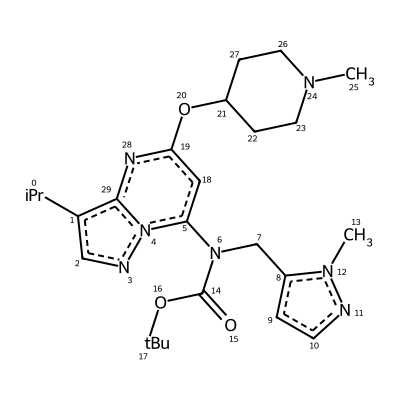 CC(C)c1cnn2c(N(Cc3ccnn3C)C(=O)OC(C)(C)C)cc(OC3CCN(C)CC3)nc12